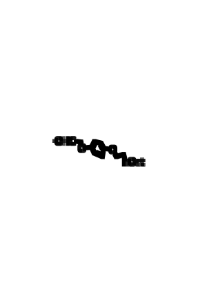 CCCCCCCCCCOc1ccc(OC[C]=O)cc1